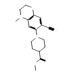 COC(=O)C1CCN(c2cc3c(cc2C#N)NCCN3C)CC1